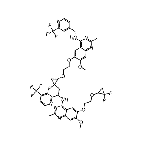 COc1cc2nc(C)nc(N[C@H](CC3(F)CC3OCCOc3cc4c(NCc5ccnc(C(F)(F)F)c5)nc(C)nc4cc3OC)c3cc(C(F)(F)F)ccn3)c2cc1OCCOC1CC1(F)F